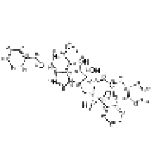 C[Si](C)(c1ccccc1)[C@@H]1C[C@@H](n2cnc3c(OCc4ccccc4)nc(N)nc32)[C@@](O)(CO)[C@H]1COCc1ccccc1